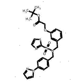 CC(C)(C)OC(=O)COc1cccc(CN(Cc2ccc(-n3cccn3)cc2)S(=O)(=O)c2nccs2)c1